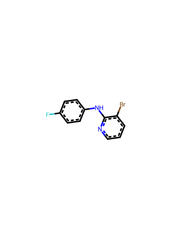 Fc1ccc(Nc2ncccc2Br)cc1